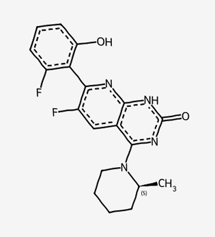 C[C@H]1CCCCN1c1nc(=O)[nH]c2nc(-c3c(O)cccc3F)c(F)cc12